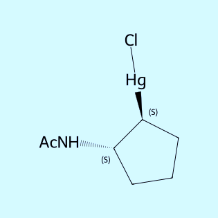 CC(=O)N[C@H]1CCC[C@@H]1[Hg][Cl]